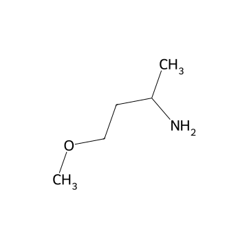 COCCC(C)N